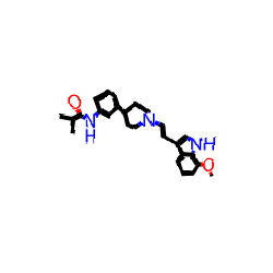 COc1cccc2c(CCN3CCC(c4cccc(NC(=O)C(C)C)c4)CC3)c[nH]c12